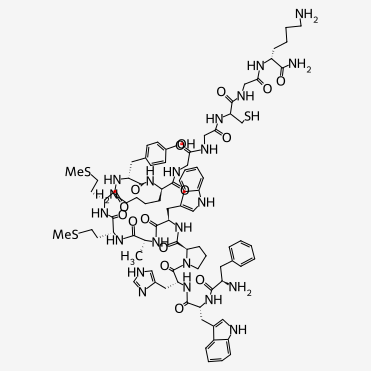 CSCC[C@@H](NC(=O)[C@@H](C)NC(=O)[C@@H](Cc1c[nH]c2ccccc12)NC(=O)[C@H]1CCCN1C(=O)[C@@H](Cc1c[nH]cn1)NC(=O)[C@@H](Cc1c[nH]c2ccccc12)NC(=O)[C@H](N)Cc1ccccc1)C(=O)N[C@H](CCSC)C(=O)N[C@H](Cc1ccc(O)cc1)C(=O)N[C@H](CCCCN)C(=O)NCC(=O)NCC(=O)NC(CS)C(=O)NCC(=O)N[C@H](CCCCN)C(N)=O